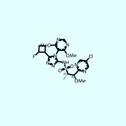 COc1ncnc(OC)c1-n1c(NS(=O)(=O)[C@@H](C)[C@H](OC)c2ncc(Cl)cn2)nnc1C1CCC1F